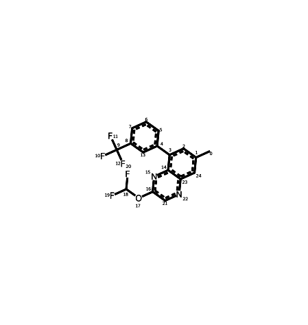 Cc1cc(-c2cccc(C(F)(F)F)c2)c2nc(OC(F)F)cnc2c1